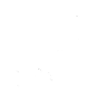 Fc1cccc(-c2ccc(-c3noc(C4CCCN4)n3)nc2)c1